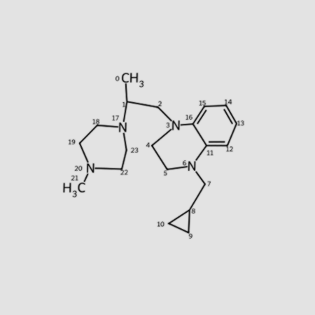 CC(CN1CCN(CC2CC2)c2ccccc21)N1CCN(C)CC1